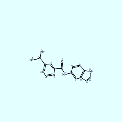 CCCN(CCC)c1cc(C(=O)Nc2ccc3[nH]ncc3c2)ncn1